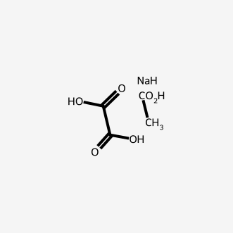 CC(=O)O.O=C(O)C(=O)O.[NaH]